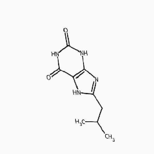 CC(C)Cc1nc2[nH]c(=O)[nH]c(=O)c2[nH]1